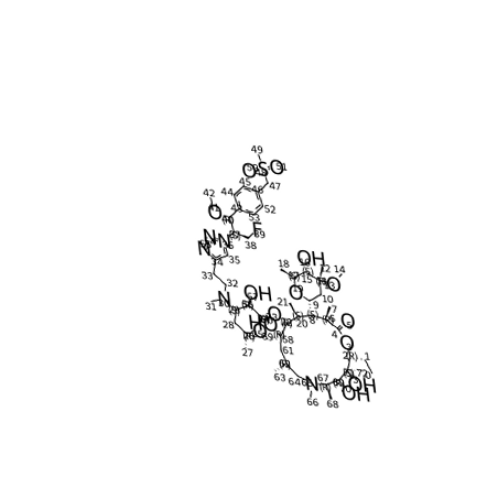 CC[C@H]1OC(=O)[C@H](C)[C@@H](C2C[C@@](C)(OC)[C@@H](O)[C@H](C)O2)[C@H](C)[C@@H](O[C@@H]2O[C@H](C)C[C@H](N(C)CCc3cn([C@H](CF)[C@H](OC)c4ccc(CS(C)(=O)=O)cc4)nn3)[C@H]2O)[C@](C)(O)C[C@@H](C)CN(C)[C@H](C)[C@@H](O)[C@]1(C)O